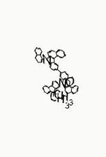 CC1(C)c2ccccc2-c2ccc(N3c4cc(-c5ccc6c(c5)c5c7ccccc7ccc5n6-c5cccc6ccccc56)ccc4Oc4c3ccc3ccccc43)cc21